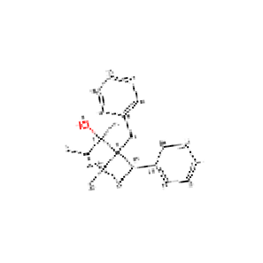 CCC(C)(O)C1(Cc2ccccc2)C(c2ccccc2)CC1(C)C